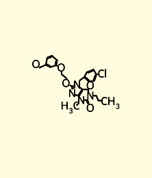 CCCn1c(=O)c2c(nc(OCCOc3cccc(C=O)c3)n2Cc2ccc(Cl)cc2)n(C)c1=O